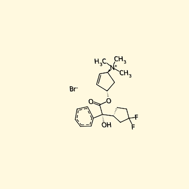 C[N+](C)(C)[C@@H]1C=C[C@@H](OC(=O)[C@](O)(c2ccccc2)[C@@H]2CCC(F)(F)C2)C1.[Br-]